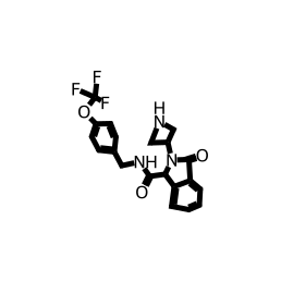 O=C(NCc1ccc(OC(F)(F)F)cc1)C1c2ccccc2C(=O)N1C1CNC1